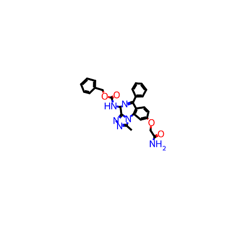 Cc1nnc2n1-c1cc(OCC(N)=O)ccc1C(c1ccccc1)=NC2NC(=O)OCc1ccccc1